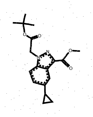 COC(=O)c1nn(CC(=O)OC(C)(C)C)c2ccc(C3CC3)cc12